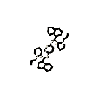 C=CCN1CCCC[C@H]1C(Oc1ccc(OC(c2cccc3ccccc23)[C@@H]2CCCCN2CC=C)nn1)c1cccc2ccccc12